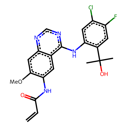 C=CC(=O)Nc1cc2c(Nc3cc(Cl)c(F)cc3C(C)(C)O)ncnc2cc1OC